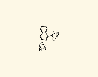 c1ccc2c(-c3nnco3)cccc2c1.c1nnco1